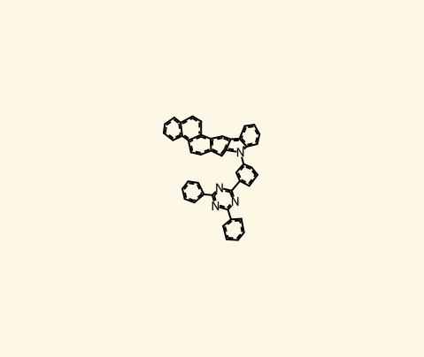 c1ccc(-c2nc(-c3ccccc3)nc(-c3cccc(-n4c5ccccc5c5cc6c(ccc7c8ccccc8ccc67)cc54)c3)n2)cc1